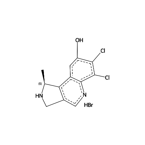 Br.C[C@@H]1NCc2cnc3c(Cl)c(Cl)c(O)cc3c21